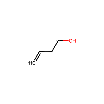 [CH]=CC[CH]O